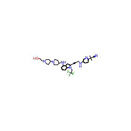 CC(C)(C#N)c1ccc(NCC#Cc2cc3c(NC4CCN(C5CCN(CCO)CC5)CC4)cccc3n2CC(F)(F)F)cn1